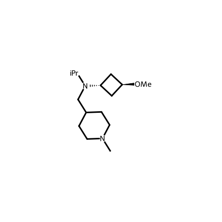 CO[C@H]1C[C@H](N(CC2CCN(C)CC2)C(C)C)C1